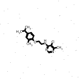 Cc1cc(C(C)C)ccc1OCCNc1ncnc(C)c1Cl